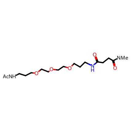 CNC(=O)CCC(=O)NCCCOCCOCCOCCCNC(C)=O